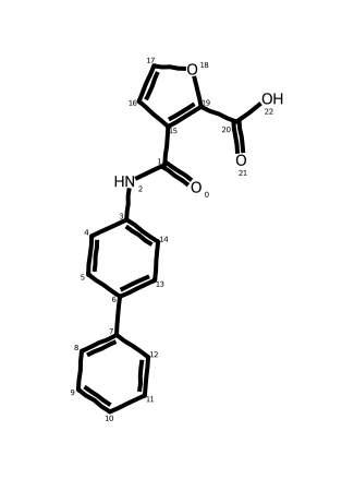 O=C(Nc1ccc(-c2ccccc2)cc1)c1ccoc1C(=O)O